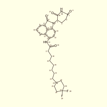 O=C1CCC(N2C(=O)c3cccc4c(NC(=O)CCCCCCCN5CCC(F)(F)CC5)ccc2c34)C(=O)N1